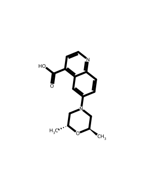 C[C@@H]1CN(c2ccc3nccc(C(=O)O)c3c2)C[C@@H](C)O1